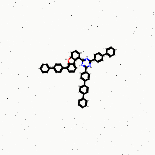 c1ccc(-c2ccc(-c3ccc(-c4nc(-c5ccc(-c6ccccc6)cc5)nc(-c5cccc6oc7c(-c8ccc(-c9ccccc9)cc8)cccc7c56)n4)cc3)cc2)cc1